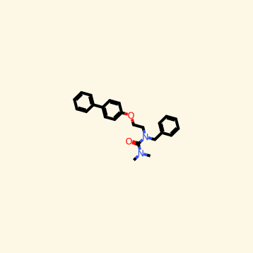 CN(C)C(=O)N(CCOc1ccc(-c2ccccc2)cc1)Cc1ccccc1